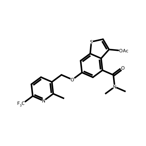 CC(=O)Oc1csc2cc(OCc3ccc(C(F)(F)F)nc3C)cc(C(=O)N(C)C)c12